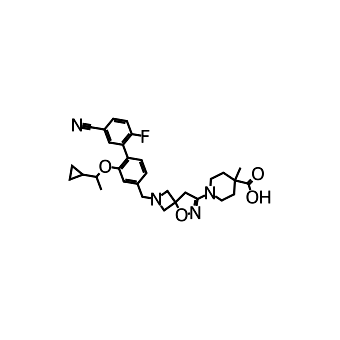 CC(Oc1cc(CN2CC3(CC(N4CCC(C)(C(=O)O)CC4)=NO3)C2)ccc1-c1cc(C#N)ccc1F)C1CC1